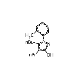 CCCCc1c(CCC)c(O)nn1-c1ccccc1C